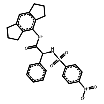 O=C(Nc1c2c(cc3c1CCC3)CCC2)[C@@H](NS(=O)(=O)c1ccc([N+](=O)[O-])cc1)c1ccccc1